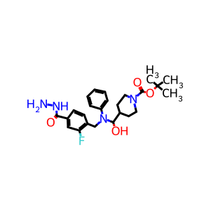 CC(C)(C)OC(=O)N1CCC(C(O)N(Cc2ccc(C(=O)NN)cc2F)c2ccccc2)CC1